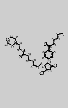 CCCCCC(=O)c1ccc([C@H]2C(=O)C[C@@H](Cl)[C@@H]2C/C=C\CCCC(=O)OCCN2CCOCC2)cc1